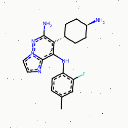 Cc1ccc(Nc2c3nccn3nc(N)c2[C@H]2CC[C@H](N)CC2)c(F)c1